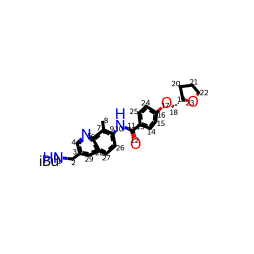 CC[C@H](C)NCc1cnc2c(C)c(NC(=O)c3ccc(OC[C@@H]4CCCO4)cc3)ccc2c1